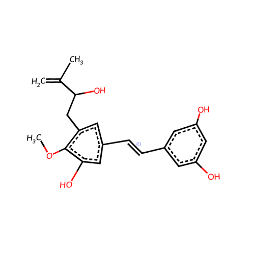 C=C(C)C(O)Cc1cc(/C=C/c2cc(O)cc(O)c2)cc(O)c1OC